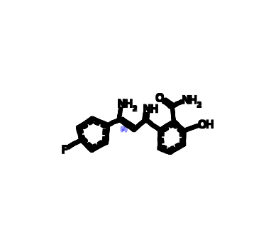 N=C(/C=C(\N)c1ccc(F)cc1)c1cccc(O)c1C(N)=O